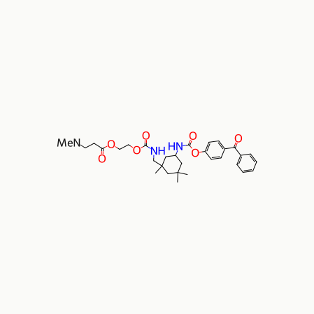 CNCCC(=O)OCCOC(=O)NCC1(C)CC(NC(=O)Oc2ccc(C(=O)c3ccccc3)cc2)CC(C)(C)C1